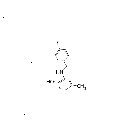 Cc1ccc(O)c(NCc2ccc(F)cc2)c1